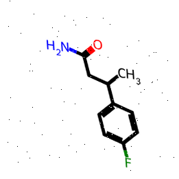 CC(CC(N)=O)c1ccc(F)cc1